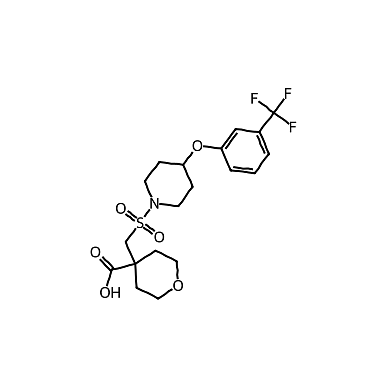 O=C(O)C1(CS(=O)(=O)N2CCC(Oc3cccc(C(F)(F)F)c3)CC2)CCOCC1